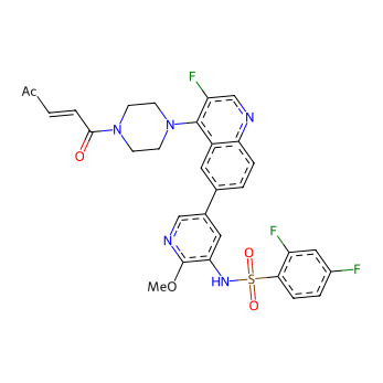 COc1ncc(-c2ccc3ncc(F)c(N4CCN(C(=O)C=CC(C)=O)CC4)c3c2)cc1NS(=O)(=O)c1ccc(F)cc1F